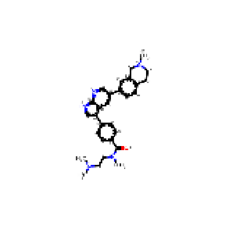 CN(C)CCN(C)C(=O)c1ccc(-c2c[nH]c3ncc(-c4ccc5c(c4)CN(C)CC5)cc23)cc1